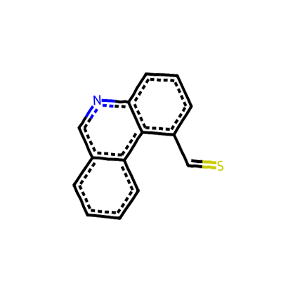 S=Cc1cccc2ncc3ccccc3c12